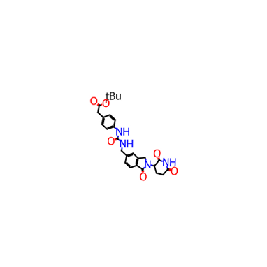 CC(C)(C)OC(=O)Cc1ccc(NC(=O)NCc2ccc3c(c2)CN(C2CCC(=O)NC2=O)C3=O)cc1